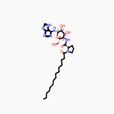 CCCCCCCCCCCCCCC(=O)N1CCC[C@@H]1C(=O)N[C@@H]1[C@@H](O)[C@H](O)[C@@H](Nc2ncnc3nc[nH]c23)O[C@H]1CO